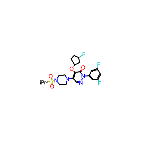 CC(C)S(=O)(=O)N1CCN(c2cnn(-c3cc(F)cc(F)c3)c(=O)c2O[C@H]2CC[C@@H](F)C2)CC1